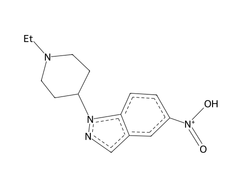 CCN1CCC(n2ncc3cc([N+](=O)O)ccc32)CC1